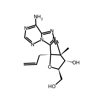 C=CC[C@@]1(c2cnc3c(N)ncnn23)O[C@H](CO)[C@@H](O)[C@@]1(C)C#N